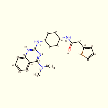 CN(C)c1nc(N[C@H]2CC[C@@H](NC(=O)Cc3cccs3)CC2)nc2ccccc12